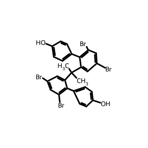 CC(C)(c1cc(Br)cc(Br)c1-c1ccc(O)cc1)c1cc(Br)cc(Br)c1-c1ccc(O)cc1